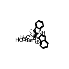 C[SiH](C)[Zr]([c]1cc2ccccc2[nH]1)([CH]1C=Cc2ccccc21)([C](C)(C)C)[C](C)(C)C.Cl.Cl